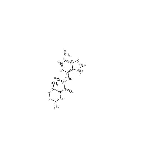 CC[C@@H]1CC[C@@H](C)N(C(=O)C(=O)Nc2cnc(N)c3cn[nH]c23)C1